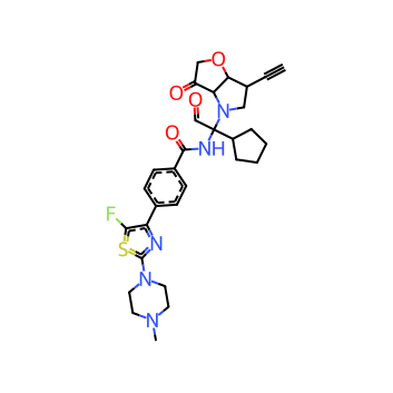 C#CC1CN(C(C=O)(NC(=O)c2ccc(-c3nc(N4CCN(C)CC4)sc3F)cc2)C2CCCC2)C2C(=O)COC12